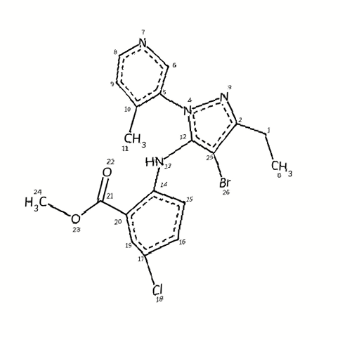 CCc1nn(-c2cnccc2C)c(Nc2ccc(Cl)cc2C(=O)OC)c1Br